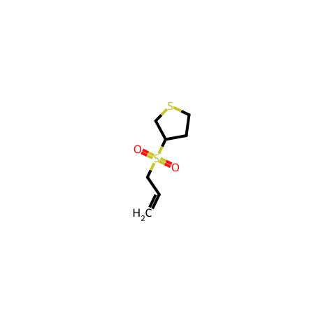 C=CCS(=O)(=O)C1CCSC1